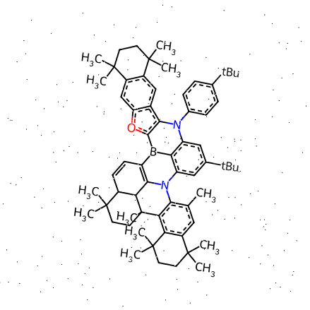 Cc1cc2c(c3c1N1C4=C(C=CC5C4C3(C)CCC5(C)C)B3c4oc5cc6c(cc5c4N(c4ccc(C(C)(C)C)cc4)c4cc(C(C)(C)C)cc1c43)C(C)(C)CCC6(C)C)C(C)(C)CCC2(C)C